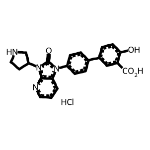 Cl.O=C(O)c1cc(-c2ccc(-n3c(=O)n(C4CCNC4)c4ncccc43)cc2)ccc1O